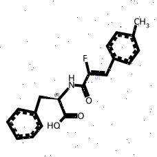 Cc1ccc(/C=C(\F)C(=O)N[C@H](Cc2ccccc2)C(=O)O)cc1